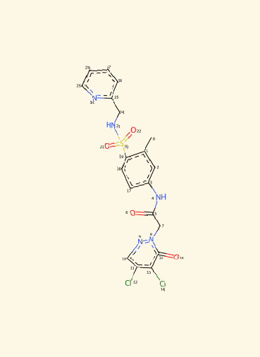 Cc1cc(NC(=O)Cn2ncc(Cl)c(Cl)c2=O)ccc1S(=O)(=O)NCc1ccccn1